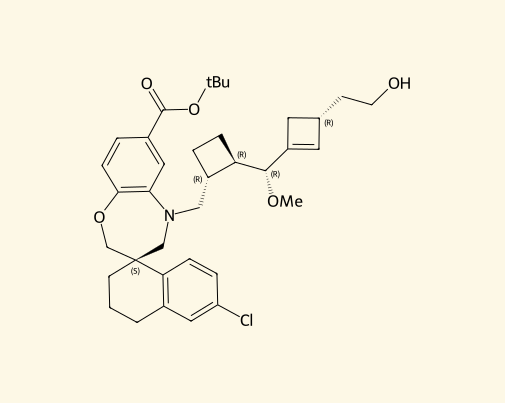 CO[C@@H](C1=C[C@@H](CCO)C1)[C@@H]1CC[C@H]1CN1C[C@@]2(CCCc3cc(Cl)ccc32)COc2ccc(C(=O)OC(C)(C)C)cc21